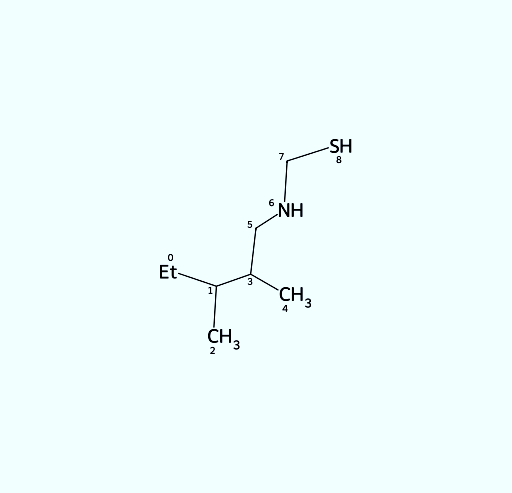 CCC(C)C(C)CNCS